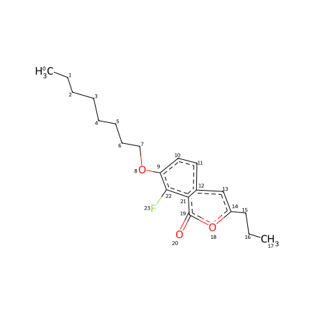 CCCCCCCCOc1ccc2cc(CCC)oc(=O)c2c1F